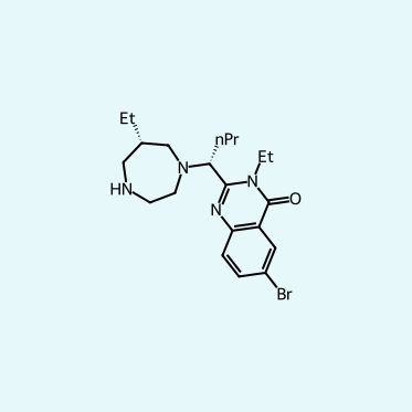 CCC[C@H](c1nc2ccc(Br)cc2c(=O)n1CC)N1CCNC[C@H](CC)C1